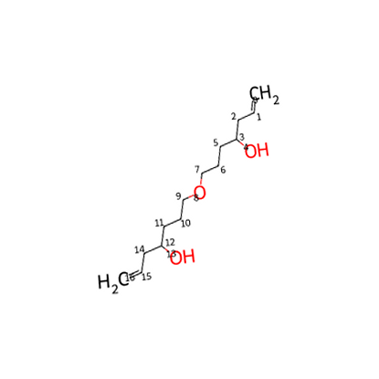 C=CCC(O)CCCOCCCC(O)CC=C